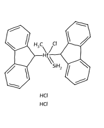 Cl.Cl.[CH3][Hf](=[SiH2])([Cl])([CH]1c2ccccc2-c2ccccc21)[CH]1c2ccccc2-c2ccccc21